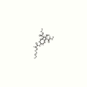 CCOCCON(C)C(=O)Cc1ccc2c(C(=O)OCC)c(N)c(C(=O)OCC)c-2cc1